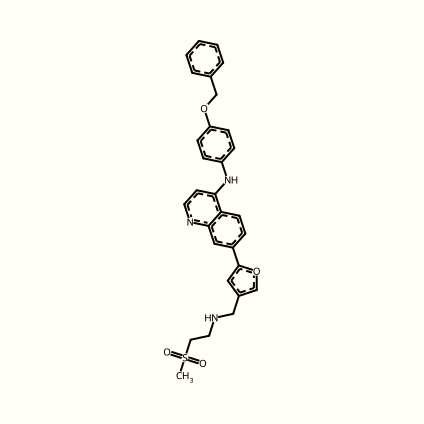 CS(=O)(=O)CCNCc1coc(-c2ccc3c(Nc4ccc(OCc5ccccc5)cc4)ccnc3c2)c1